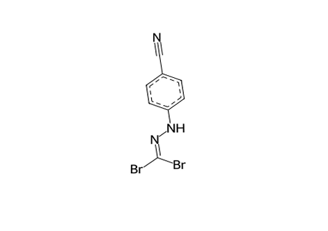 N#Cc1ccc(NN=C(Br)Br)cc1